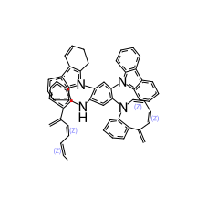 C=C(/C=C\C=C/C)c1ccccc1Nc1cc(N2/C=C\C=C/C(=C)c3ccccc32)c(-n2c3ccccc3c3ccccc32)cc1-n1c2c(c3ccccc31)C=CCC2